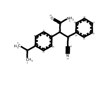 CC(C)c1ccc(C(C(N)=O)C(C#N)c2ccccc2)cc1